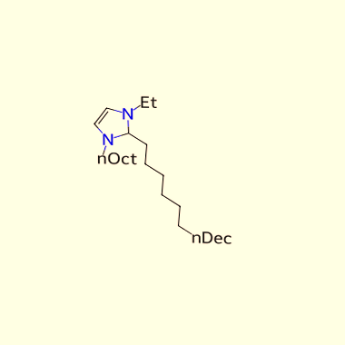 CCCCCCCCCCCCCCCCC1N(CC)C=CN1CCCCCCCC